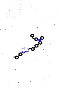 CC1C=C(c2ccc(N/C=C/C=C\C=C/c3cccc(-c4ccc(-c5cccc(N(c6ccccc6)c6ccc(Cc7ccccc7)cc6)c5)cc4)c3)cc2)C=CC1